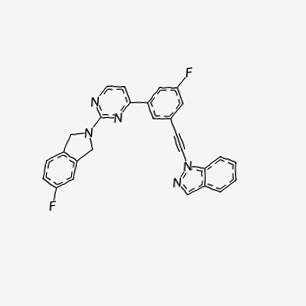 Fc1cc(C#Cn2ncc3ccccc32)cc(-c2ccnc(N3Cc4ccc(F)cc4C3)n2)c1